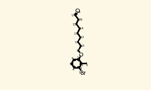 Cc1c(Br)cccc1OCCCCCCCCC=O